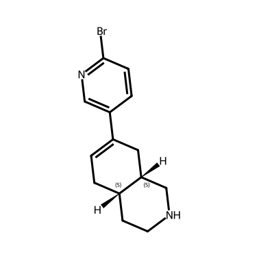 Brc1ccc(C2=CC[C@H]3CCNC[C@H]3C2)cn1